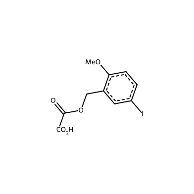 COc1ccc(I)cc1COC(=O)C(=O)O